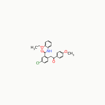 CCOc1ccccc1NC(=O)c1cc(Cl)ccc1CC(=O)c1ccc(OC)cc1